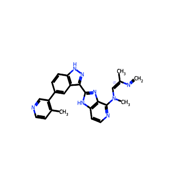 C=N/C(C)=C\N(C)c1nccc2[nH]c(-c3n[nH]c4ccc(-c5cnccc5C)cc34)nc12